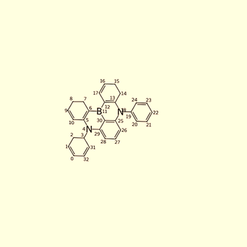 C1=CCC(N2C3=C(CCC=C3)B3C4=C(CCC=C4)N(c4ccccc4)c4cccc2c43)C=C1